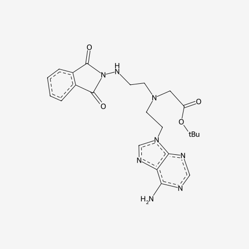 CC(C)(C)OC(=O)CN(CCNN1C(=O)c2ccccc2C1=O)CCn1cnc2c(N)ncnc21